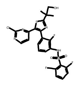 CC(C)(CO)c1nc(-c2cccc(NS(=O)(=O)c3c(F)cccc3F)c2F)c(-c2ccnc(Cl)n2)s1